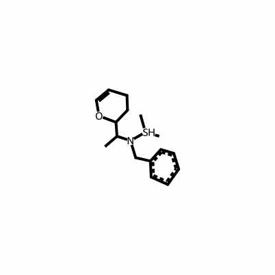 CC(C1CCC=CO1)N(Cc1ccccc1)[SH](C)C